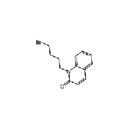 O=c1ccc2ccccc2n1CCCCBr